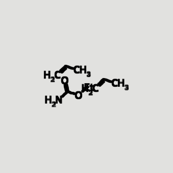 C=CC.C=CC.CCOC(N)=O